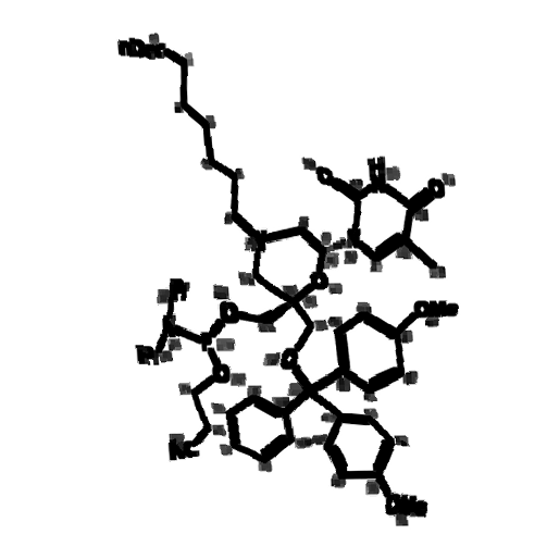 CCCCCCCCCCCCCCCCN1C[C@H](n2cc(C)c(=O)[nH]c2=O)O[C@](COP(OCCC#N)N(C(C)C)C(C)C)(COC(c2ccccc2)(c2ccc(OC)cc2)c2ccc(OC)cc2)C1